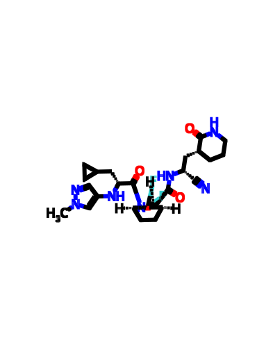 Cn1cc(N[C@H](CC2CC2)C(=O)N2[C@@H]3CC[C@H]([C@@H]2C(=O)N[C@@H](C#N)C[C@H]2CCCNC2=O)C(F)(F)C3)cn1